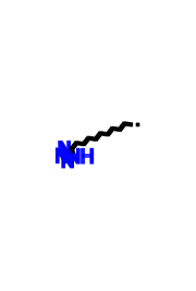 [CH2]CCCCCCCCCc1nnn[nH]1